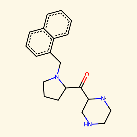 O=C(C1CNCC[N]1)C1CCCN1Cc1cccc2ccccc12